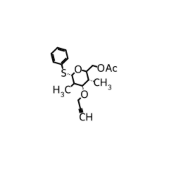 C#CCO[C@@H]1C(C)[C@H](Sc2ccccc2)OC(COC(C)=O)[C@@H]1C